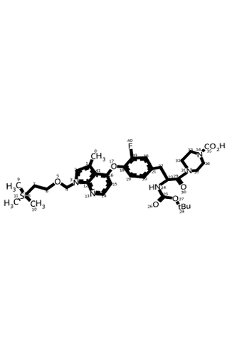 Cc1cn(COCC[Si](C)(C)C)c2nccc(Oc3ccc(CC(NC(=O)OC(C)(C)C)C(=O)N4CCN(C(=O)O)CC4)cc3F)c12